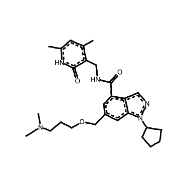 Cc1cc(C)c(CNC(=O)c2cc(COCCCN(C)C)cc3c2cnn3C2CCCC2)c(=O)[nH]1